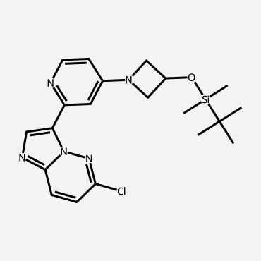 CC(C)(C)[Si](C)(C)OC1CN(c2ccnc(-c3cnc4ccc(Cl)nn34)c2)C1